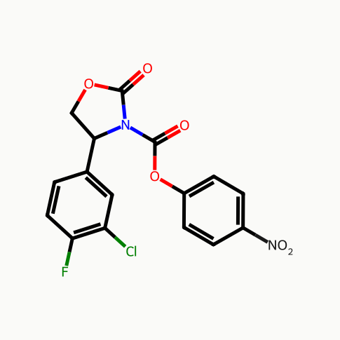 O=C1OCC(c2ccc(F)c(Cl)c2)N1C(=O)Oc1ccc([N+](=O)[O-])cc1